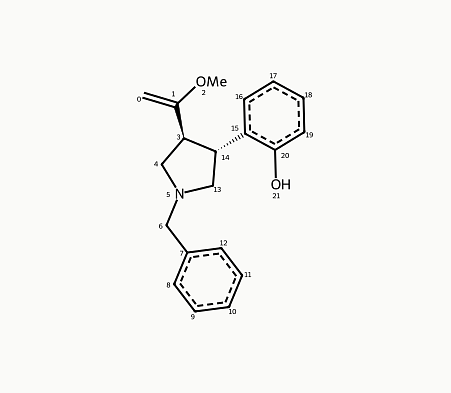 C=C(OC)[C@@H]1CN(Cc2ccccc2)C[C@H]1c1ccccc1O